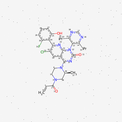 C=CC(=O)N1CCN(c2nc(=O)n(-c3c(C(C)C)ncnc3C(C)C)c3nc(-c4c(O)cccc4F)c(Cl)cc23)[C@@H](C)C1